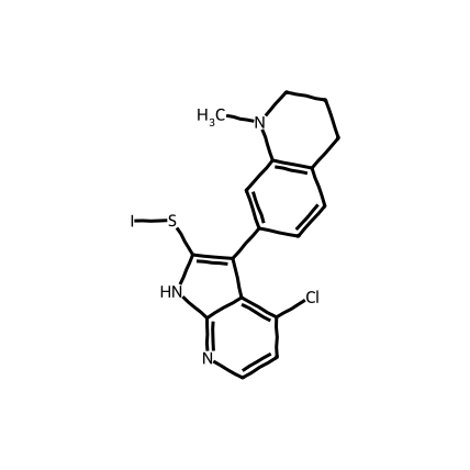 CN1CCCc2ccc(-c3c(SI)[nH]c4nccc(Cl)c34)cc21